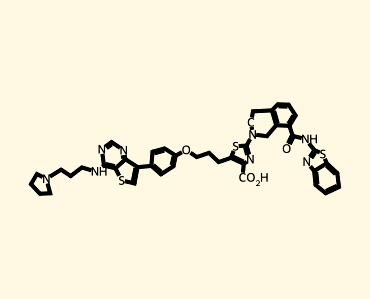 O=C(Nc1nc2ccccc2s1)c1cccc2c1CN(c1nc(C(=O)O)c(CCCOc3ccc(-c4csc5c(NCCCN6CCCC6)ncnc45)cc3)s1)CC2